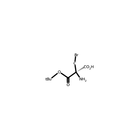 CC(C)(C)OC(=O)[C@](N)(CBr)C(=O)O